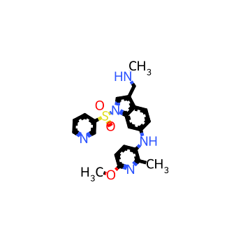 CNCc1cn(S(=O)(=O)c2cccnc2)c2cc(Nc3ccc(OC)nc3C)ccc12